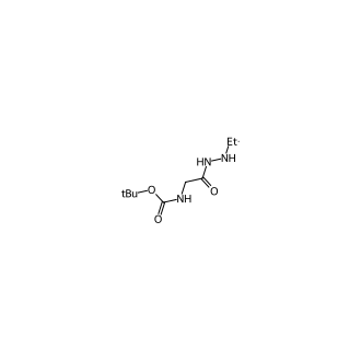 C[CH]NNC(=O)CNC(=O)OC(C)(C)C